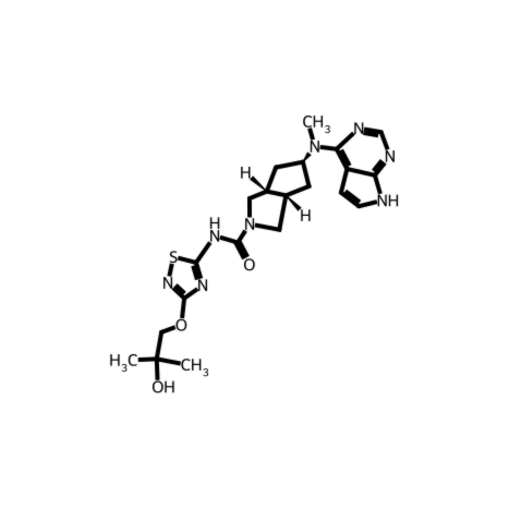 CN(c1ncnc2[nH]ccc12)[C@H]1C[C@@H]2CN(C(=O)Nc3nc(OCC(C)(C)O)ns3)C[C@@H]2C1